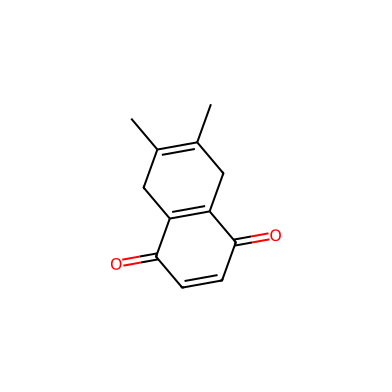 CC1=C(C)CC2=C(C1)C(=O)C=CC2=O